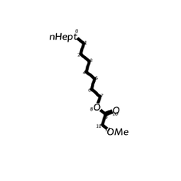 CCCCCCCCCCCCCCOC(=O)COC